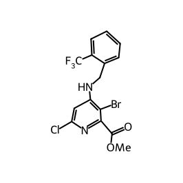 COC(=O)c1nc(Cl)cc(NCc2ccccc2C(F)(F)F)c1Br